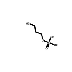 O=P(O)(O)OCCCS